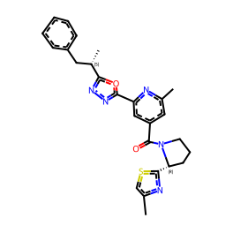 Cc1cc(C(=O)N2CCC[C@@H]2c2nc(C)cs2)cc(-c2nnc([C@@H](C)Cc3ccccc3)o2)n1